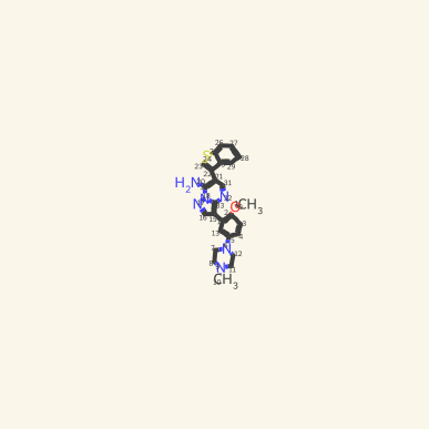 COc1ccc(N2CCN(C)CC2)cc1-c1cnn2c(N)c(-c3csc4ccccc34)cnc12